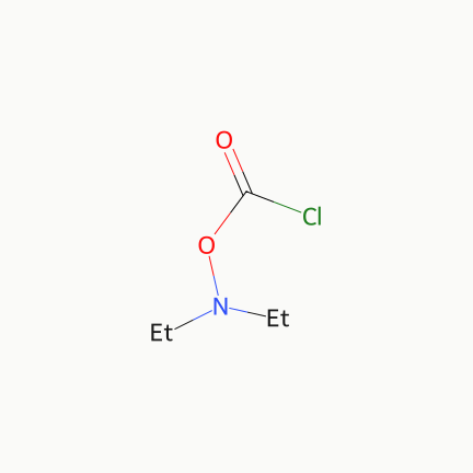 CCN(CC)OC(=O)Cl